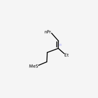 CCC/C=C(/CC)CCSC